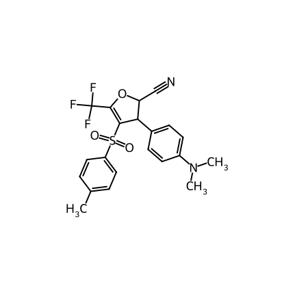 Cc1ccc(S(=O)(=O)C2=C(C(F)(F)F)OC(C#N)C2c2ccc(N(C)C)cc2)cc1